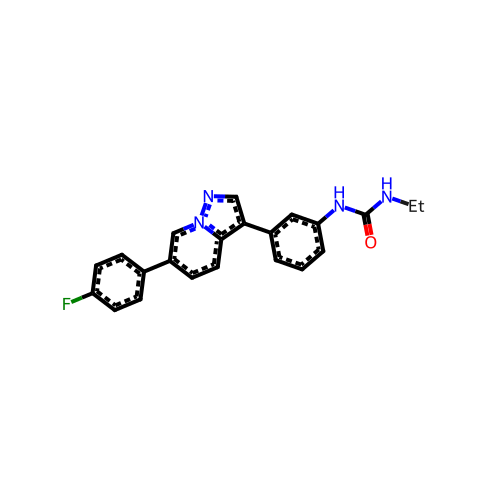 CCNC(=O)Nc1cccc(-c2cnn3cc(-c4ccc(F)cc4)ccc23)c1